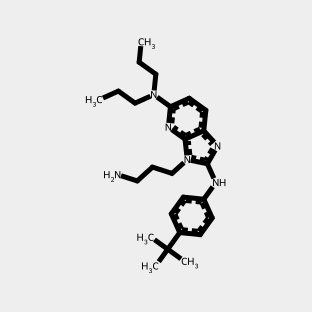 CCCN(CCC)c1ccc2nc(Nc3ccc(C(C)(C)C)cc3)n(CCCN)c2n1